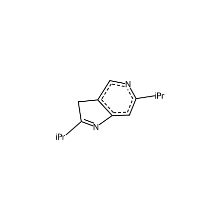 CC(C)C1=Nc2cc(C(C)C)ncc2C1